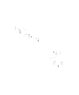 O=C(CC(F)(F)F)NC1CCC(CCN2CCN(c3ccc(F)cc3)CC2)CC1